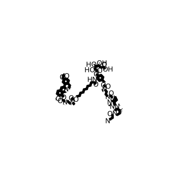 COc1ccc2cc3[n+](cc2c1OC(=O)N(C)CCN(C)C(=O)OCCCCCCCCCC(=O)Nc1cc(COC(=O)N(C)CCN(C)C(=O)n2ccc4c(N(C)[C@H]5CN(C(=O)CC#N)CC[C@H]5C)ncnc42)ccc1O[C@@H]1OC(C(=O)O)[C@@H](O)[C@H](O)[C@H]1O)CCc1cc2c(cc1-3)OCO2